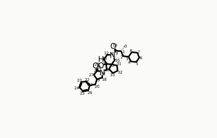 C[C@H](CC1CCCCC1)C(=O)N1CCC(O)(CN2CC(Cc3ccccc3)CC2=O)C2(CCCC2)C1